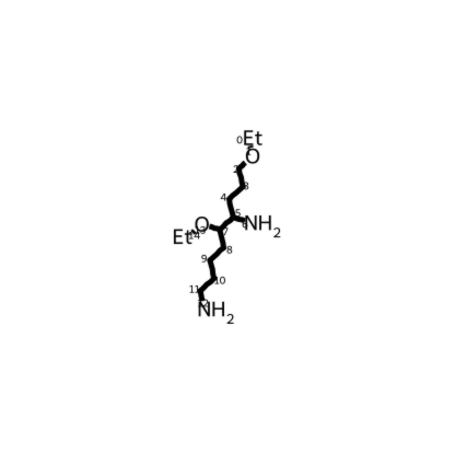 CCOCCCC(N)C(CCCCN)OCC